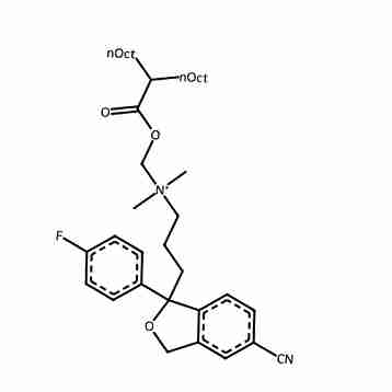 CCCCCCCCC(CCCCCCCC)C(=O)OC[N+](C)(C)CCCC1(c2ccc(F)cc2)OCc2cc(C#N)ccc21